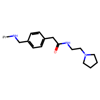 CC(C)NCc1ccc(CC(=O)NCCN2CCCC2)cc1